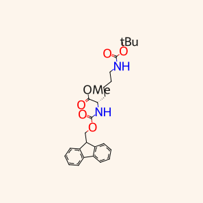 COC(=O)[C@H](CCCCNC(=O)OC(C)(C)C)NC(=O)OCC1c2ccccc2-c2ccccc21